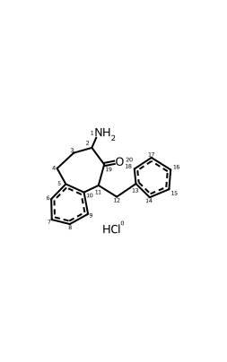 Cl.NC1CCc2ccccc2C(Cc2ccccc2)C1=O